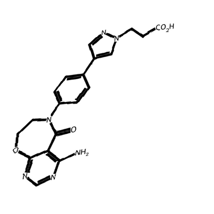 Nc1ncnc2c1C(=O)N(c1ccc(-c3cnn(CCC(=O)O)c3)cc1)CCO2